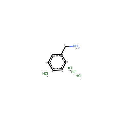 Cl.Cl.Cl.Cl.NCc1ccccc1